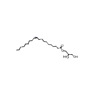 CCCCCCCC/C=C\CCCCCCCCCC(=O)OCC(O)CO